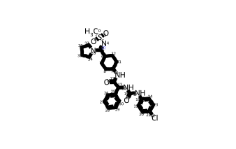 CS(=O)(=O)/N=C(/C1CCC(NC(=O)C(NC(=O)Nc2ccc(Cl)cc2)c2ccccc2)CC1)N1CCCC1